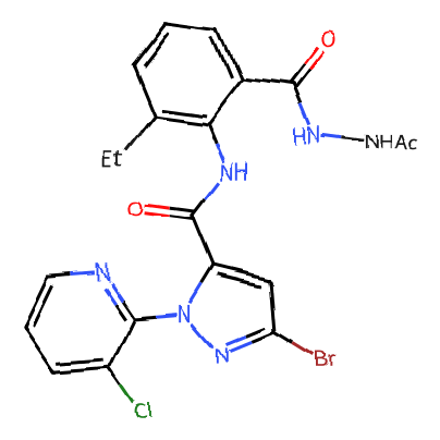 CCc1cccc(C(=O)NNC(C)=O)c1NC(=O)c1cc(Br)nn1-c1ncccc1Cl